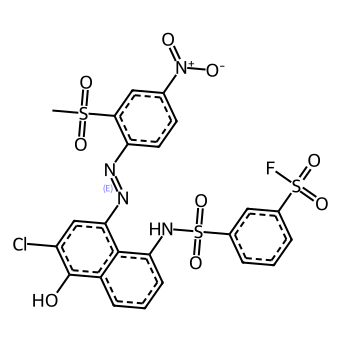 CS(=O)(=O)c1cc([N+](=O)[O-])ccc1/N=N/c1cc(Cl)c(O)c2cccc(NS(=O)(=O)c3cccc(S(=O)(=O)F)c3)c12